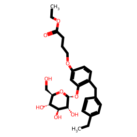 CCOC(=O)CCCOc1ccc(Cc2ccc(CC)cc2)c(O[C@H]2O[C@H](CO)[C@@H](O)[C@H](O)[C@H]2O)c1